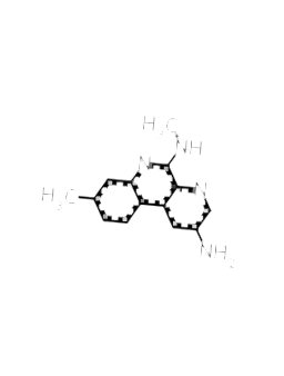 CNc1nc2cc(C)ccc2c2cc(N)cnc12